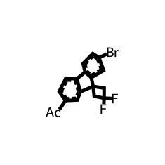 CC(=O)c1ccc2c(c1)C1(CC(F)(F)C1)c1cc(Br)ccc1-2